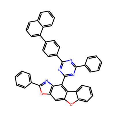 c1ccc(-c2nc(-c3ccc(-c4cccc5ccccc45)cc3)nc(-c3c4nc(-c5ccccc5)oc4cc4oc5ccccc5c34)n2)cc1